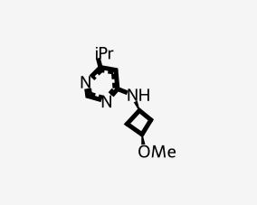 CO[C@H]1C[C@@H](Nc2cc(C(C)C)ncn2)C1